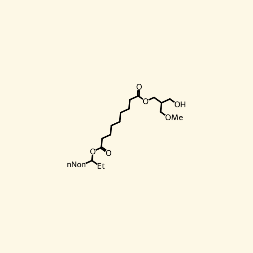 CCCCCCCCCC(CC)OC(=O)CCCCCCCC(=O)OCC(CO)COC